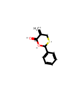 C=C1CSC(c2ccccc2)OC1=O